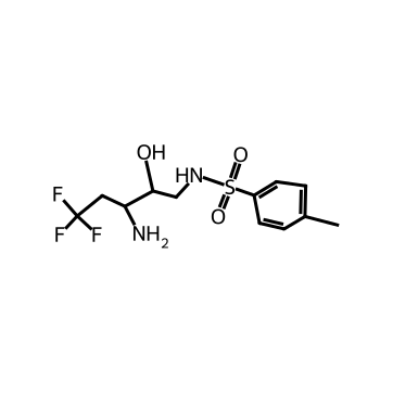 Cc1ccc(S(=O)(=O)NCC(O)C(N)CC(F)(F)F)cc1